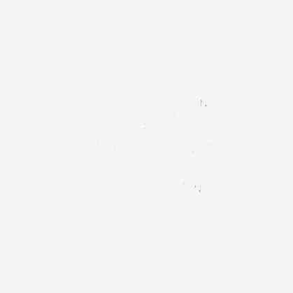 c1ccc(-c2cccc(-c3c(-c4ccccc4)c4cc5c(-c6cccc7ncccc67)c6ccccc6c(-c6cccc7ncccc67)c5cc4c4ccccc34)c2)cc1